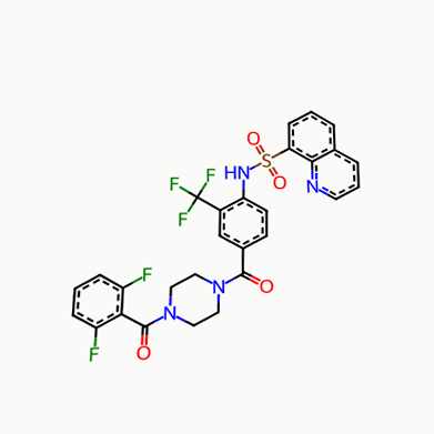 O=C(c1ccc(NS(=O)(=O)c2cccc3cccnc23)c(C(F)(F)F)c1)N1CCN(C(=O)c2c(F)cccc2F)CC1